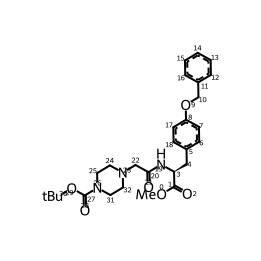 COC(=O)[C@H](Cc1ccc(OCc2ccccc2)cc1)NC(=O)CN1CCN(C(=O)OC(C)(C)C)CC1